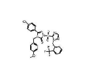 COc1ccc(Cn2c(-c3ccc(Cl)cc3)nn(S(=O)(=O)c3ncnn3Cc3ccccc3C(F)(F)F)c2=O)cc1